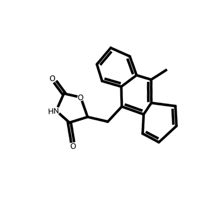 Cc1c2ccccc2c(CC2OC(=O)NC2=O)c2ccccc12